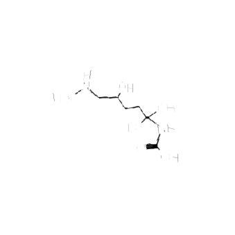 CNCC(O)CCC(C)(C)NC(=O)O